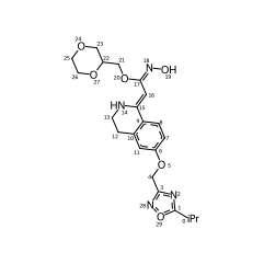 CC(C)c1nc(COc2ccc3c(c2)CCN/C3=C\C(=N/O)OCC2COCCO2)no1